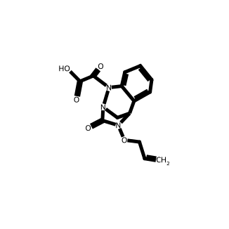 C=CCON1C(=O)N2CC1c1ccccc1N2C(=O)C(=O)O